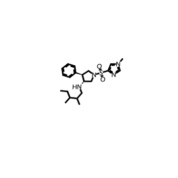 CCC(C)C(C)CN[C@H]1CN(S(=O)(=O)c2cn(C)cn2)C[C@@H]1c1ccccc1